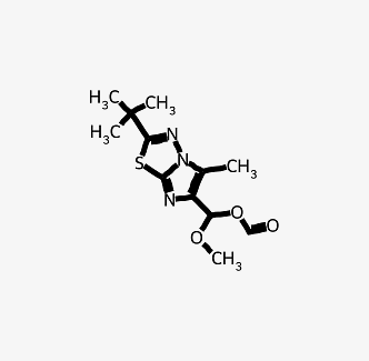 COC(OC=O)c1nc2sc(C(C)(C)C)nn2c1C